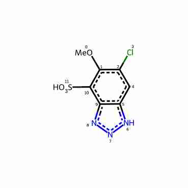 COc1c(Cl)cc2[nH]nnc2c1S(=O)(=O)O